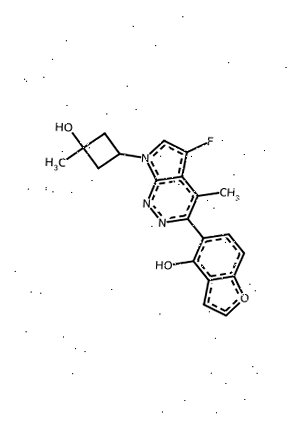 Cc1c(-c2ccc3occc3c2O)nnc2c1c(F)cn2C1CC(C)(O)C1